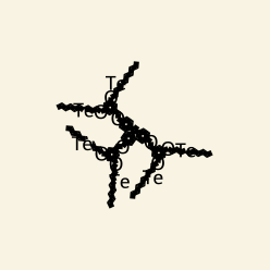 CCCCCC[Te]CCCOc1cc(COc2ccc(C(C)(c3ccc(OCc4cc(OCCC[Te]CCCCCC)cc(OCCC[Te]CCCCCC)c4)cc3)c3ccc(OCc4cc(OCCC[Te]CCCCCC)cc(OCCC[Te]CCCCCC)c4)cc3)cc2)cc(OCCC[Te]CCCCCC)c1